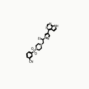 CCC(CN1CCN(S(=O)(=O)c2cccc(C#N)c2)CC1)n1cc(-c2ncnc3[nH]ccc23)cn1